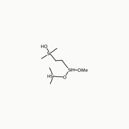 CO[SiH](CC[Si](C)(C)O)O[SiH](C)C